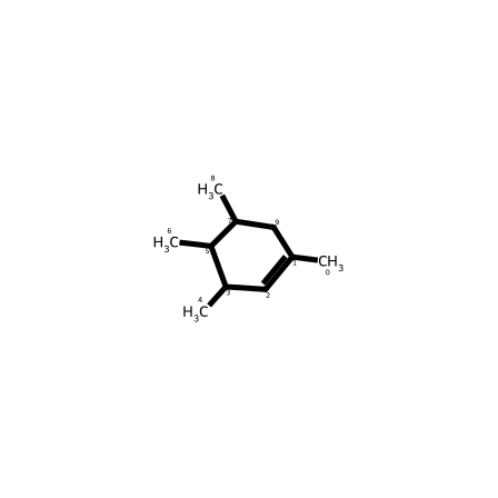 CC1=CC(C)C(C)C(C)C1